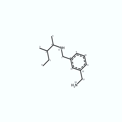 CCC(C)C(C)NCc1cccc(CN)c1